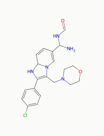 NC(NC=O)C1=CN2C(CN3CCOCC3)=C(c3ccc(Cl)cc3)NC2C=C1